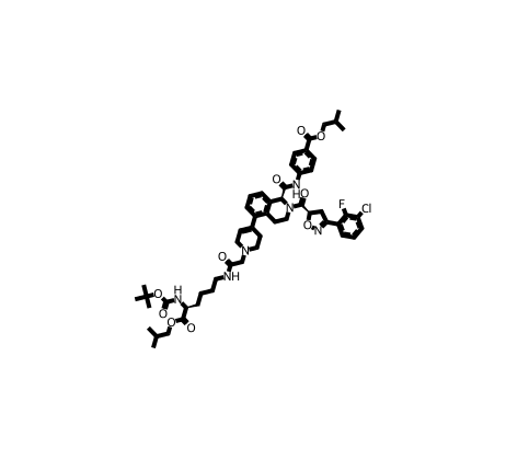 CC(C)COC(=O)c1ccc(NC(=O)[C@@H]2c3cccc(C4=CCN(CC(=O)NCCCC[C@H](NC(=O)OC(C)(C)C)C(=O)OCC(C)C)CC4)c3CCN2C(=O)[C@H]2CC(c3cccc(Cl)c3F)=NO2)cc1